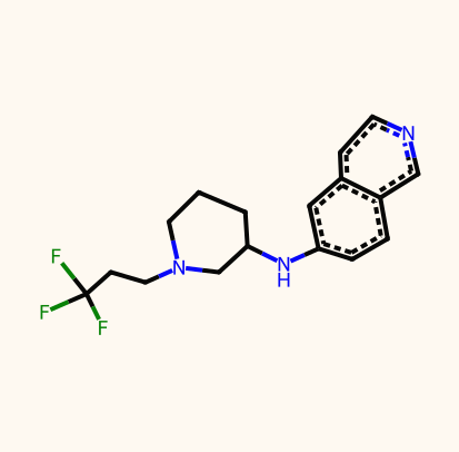 FC(F)(F)CCN1CCCC(Nc2ccc3cnccc3c2)C1